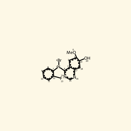 COc1cc2c(N(Br)c3ccccc3F)ncnc2cc1O